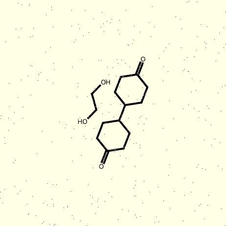 O=C1CCC(C2CCC(=O)CC2)CC1.OCCO